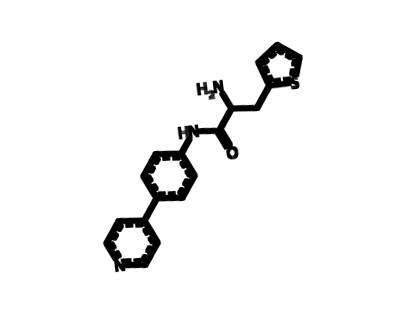 NC(Cc1cccs1)C(=O)Nc1ccc(-c2ccncc2)cc1